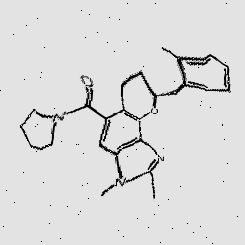 Cc1ccccc1[C@@H]1CCc2c(C(=O)N3CCCC3)cc3c(nc(C)n3C)c2O1